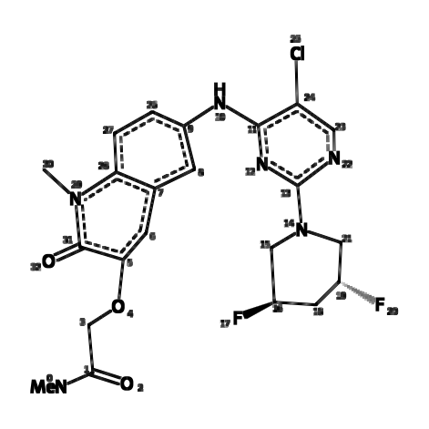 CNC(=O)COc1cc2cc(Nc3nc(N4C[C@H](F)C[C@@H](F)C4)ncc3Cl)ccc2n(C)c1=O